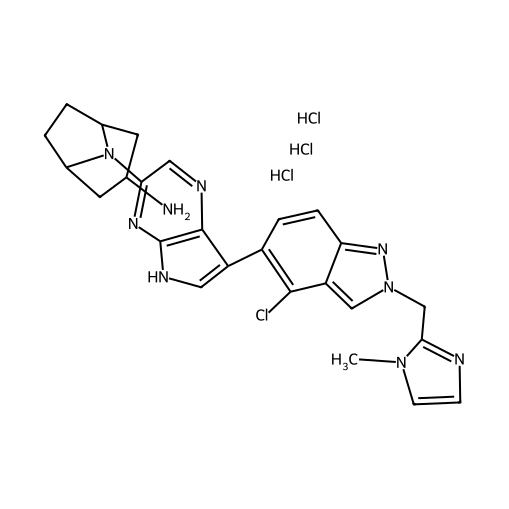 Cl.Cl.Cl.Cn1ccnc1Cn1cc2c(Cl)c(-c3c[nH]c4nc(N5C6CCC5CC(N)C6)cnc34)ccc2n1